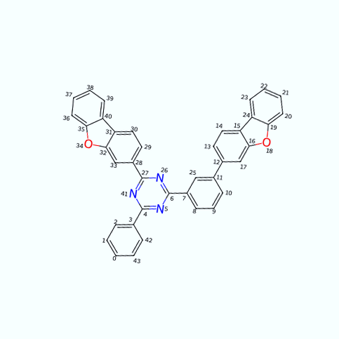 c1ccc(-c2nc(-c3cccc(-c4ccc5c(c4)oc4ccccc45)c3)nc(-c3ccc4c(c3)oc3ccccc34)n2)cc1